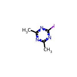 Cc1nc(C)nc(I)n1